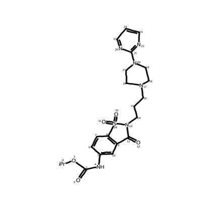 CC(C)OC(=O)Nc1ccc2c(c1)C(=O)N(CCCN1CCN(c3ncccn3)CC1)S2(=O)=O